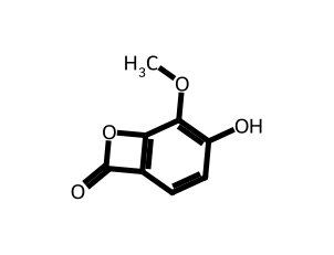 COc1c(O)ccc2c1OC2=O